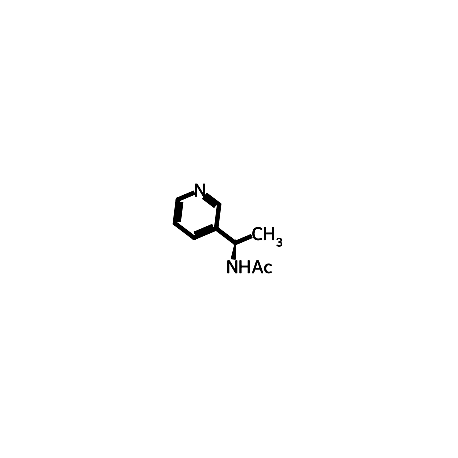 CC(=O)N[C@H](C)c1cccnc1